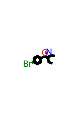 CCc1c(C)noc1-c1ccc(Br)cc1